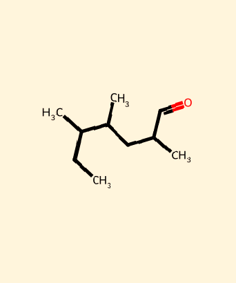 CCC(C)C(C)CC(C)C=O